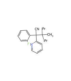 CC(C)C(C)(C(C)C)C(C#N)(c1ccccn1)c1ccccc1F